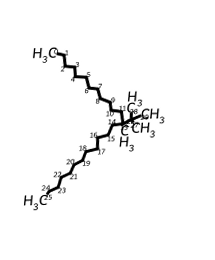 CCCCCCCCCCCCC(C)(CCCCCCCCCCCC)C(C)(C)C